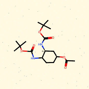 CC(=O)OC1CCC(NC(=O)OC(C)(C)C)[C@@H](NC(=O)OC(C)(C)C)C1